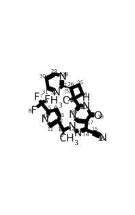 C[C@@H](c1ccc(C(F)(F)F)nc1)n1nc(C#N)c2c(=O)[nH]c([C@@]3(C)CC[C@@H]3c3ncccn3)nc21